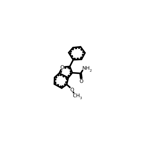 COc1cccc2oc(-c3ccccc3)c(C(N)=O)c12